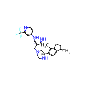 C=C1CCc2c1ccc([C@@H]1CN(C/C(C=N)=C/Nc3ccnc(C(F)(F)F)c3)CCN1)c2C